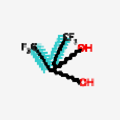 OCCCCCCCCCC(CC(F)(F)C(F)(F)C(F)(F)C(F)(F)C(F)(F)C(F)(F)C(F)(F)C(F)(F)F)C(CCCCCCCCCO)CC(F)(F)C(F)(F)C(F)(F)C(F)(F)C(F)(F)C(F)(F)C(F)(F)C(F)(F)F